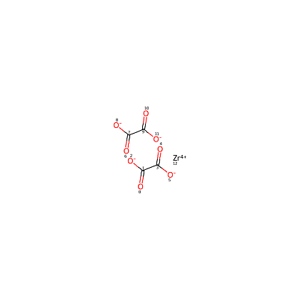 O=C([O-])C(=O)[O-].O=C([O-])C(=O)[O-].[Zr+4]